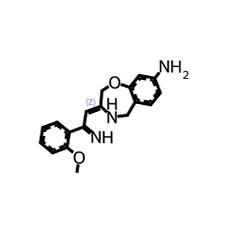 COc1ccccc1C(=N)/C=C1/COc2cc(N)ccc2CN1